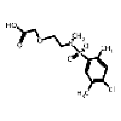 Cc1cc(S(=O)(=O)N(C)CCOCC(=O)O)c(C)cc1Cl